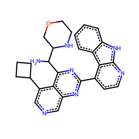 NC(c1nc(-c2ccnc3[nH]c4ccccc4c23)nc2cncc(C3CCC3)c12)C1COCCN1